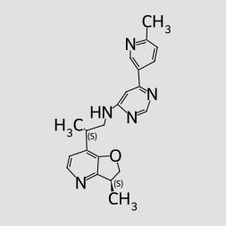 Cc1ccc(-c2cc(NC[C@@H](C)c3ccnc4c3OC[C@H]4C)ncn2)cn1